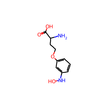 NC(CCOc1cccc(NO)c1)C(=O)O